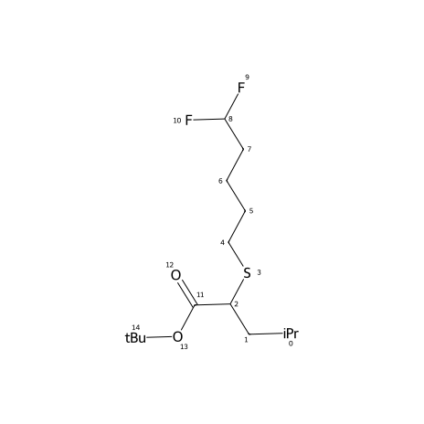 CC(C)CC(SCCCCC(F)F)C(=O)OC(C)(C)C